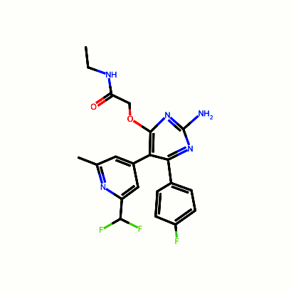 CCNC(=O)COc1nc(N)nc(-c2ccc(F)cc2)c1-c1cc(C)nc(C(F)F)c1